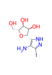 Nc1c(I)n[nH]c1[C@@H]1O[C@H](CO)[C@@H](O)[C@H]1O